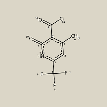 Cc1cc(C(F)(F)F)[nH]c(=O)c1C(=O)Cl